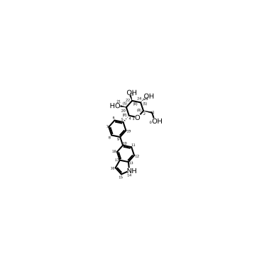 OC[C@H]1O[C@H](c2cccc(-c3ccc4[nH]ccc4c3)c2)[C@@H](O)[C@@H](O)[C@@H]1O